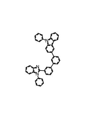 c1ccc(-n2c(-c3cccc(-c4cccc(-c5ccc6c(c5)c5ccccc5n6-c5ccccc5)c4)c3)nc3ccccc32)cc1